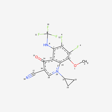 COc1c(F)c(F)c(NC(F)(F)F)c2c(=O)c(C#N)cn(C3CC3)c12